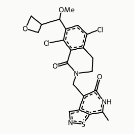 COC(c1cc(Cl)c2c(c1Cl)C(=O)N(Cc1c(=O)[nH]c(C)c3sncc13)CC2)C1COC1